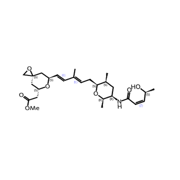 COC(=O)C[C@@H]1C[C@@]2(CO2)C[C@@H](/C=C/C(C)=C/C[C@@H]2O[C@H](C)[C@H](NC(=O)/C=C\[C@H](C)O)C[C@@H]2C)O1